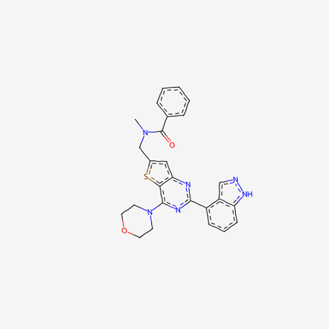 CN(Cc1cc2nc(-c3cccc4[nH]ncc34)nc(N3CCOCC3)c2s1)C(=O)c1ccccc1